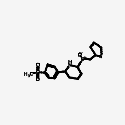 CS(=O)(=O)c1ccc(C2CCCC([S@+]([O-])CC3CCCS3)N2)cc1